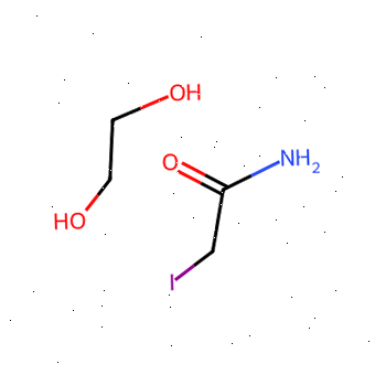 NC(=O)CI.OCCO